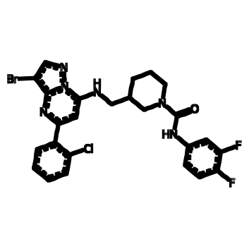 O=C(Nc1ccc(F)c(F)c1)N1CCCC(CNc2cc(-c3ccccc3Cl)nc3c(Br)cnn23)C1